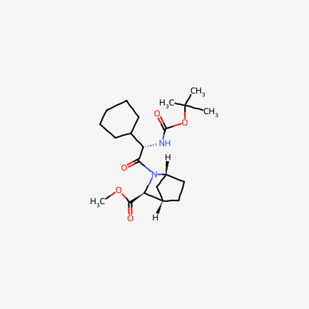 COC(=O)[C@@H]1[C@H]2CC[C@H](C2)N1C(=O)[C@@H](NC(=O)OC(C)(C)C)C1CCCCC1